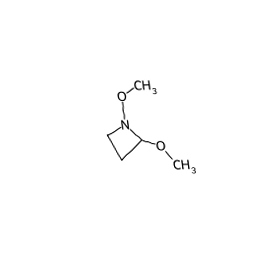 COC1CCN1OC